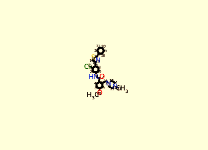 COc1ccc(C(=O)Nc2ccc(-c3csc(-c4ccccc4)n3)c(Cl)c2)c(CN2CCN(C)CC2)c1